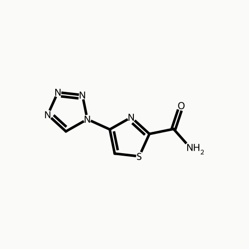 NC(=O)c1nc(-n2cnnn2)cs1